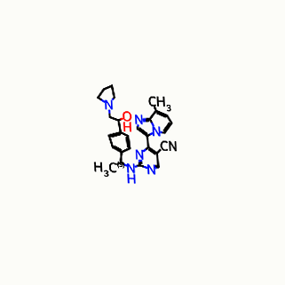 Cc1cccn2c(-c3nc(N[C@@H](C)c4ccc(C(O)CN5CCCC5)cc4)ncc3C#N)cnc12